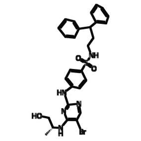 C[C@H](CO)Nc1nc(Nc2ccc(S(=O)(=O)NCCC(c3ccccc3)c3ccccc3)cc2)ncc1Br